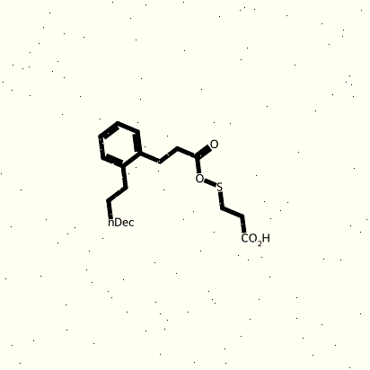 CCCCCCCCCCCCc1ccccc1CCC(=O)OSCCC(=O)O